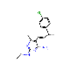 CCNc1nc(C)c(C=CC(C)c2ccc(Cl)cc2)c(N)n1